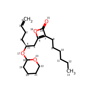 C=CCC[C@@H](CC1=C(CCCCCC)C(=O)O1)OC1CCCCO1